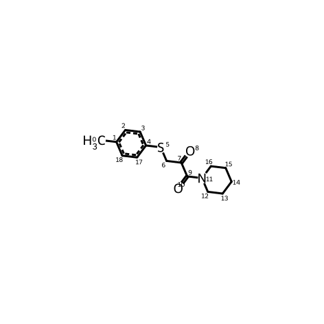 Cc1ccc(SCC(=O)C(=O)N2CCCCC2)cc1